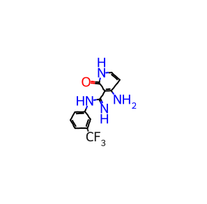 N=C(Nc1cccc(C(F)(F)F)c1)c1c(N)cc[nH]c1=O